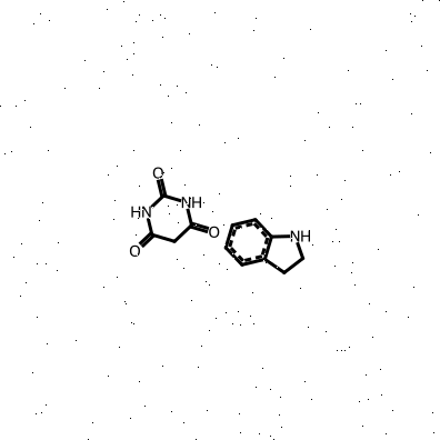 O=C1CC(=O)NC(=O)N1.c1ccc2c(c1)CCN2